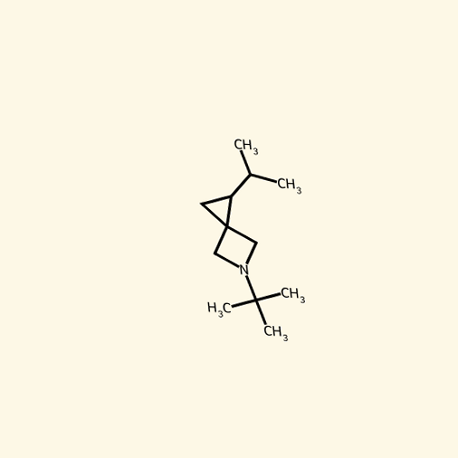 CC(C)C1CC12CN(C(C)(C)C)C2